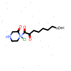 CCCCCCCCCCCCCCCC(=O)C(=O)[N+]1(Cl)CCNCC1=O